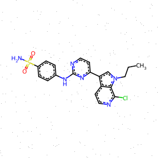 CCCn1cc(-c2ccnc(Nc3ccc(S(N)(=O)=O)cc3)n2)c2ccnc(Cl)c21